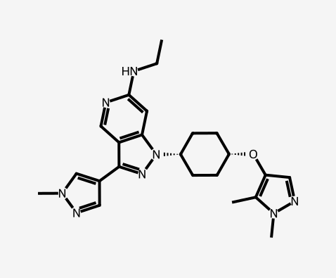 CCNc1cc2c(cn1)c(-c1cnn(C)c1)nn2[C@H]1CC[C@@H](Oc2cnn(C)c2C)CC1